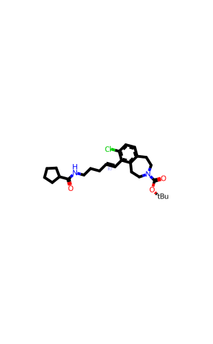 CC(C)(C)OC(=O)N1CCc2ccc(Cl)c(/C=C/CCCNC(=O)C3CCCC3)c2CC1